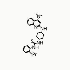 CC(C)c1ccccc1NC(=S)N[C@H]1CC[C@@H](Nc2cc(N(C)C)c3ccccc3n2)CC1